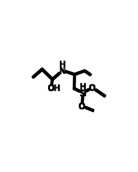 CCC(O)NC(CC)C[SiH](OC)OC